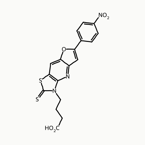 O=C(O)CCCn1c(=S)sc2cc3oc(-c4ccc([N+](=O)[O-])cc4)cc3nc21